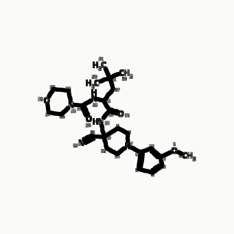 COc1cccc(N2CCC(C#N)(NC(=O)C(CC(C)(C)C)NC(=O)N3CCOCC3)CC2)c1